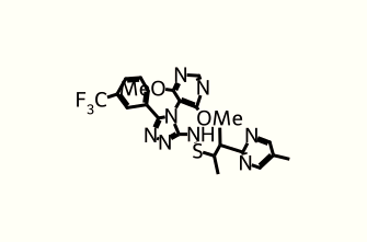 COc1ncnc(OC)c1-n1c(NSC(C)C(C)c2ncc(C)cn2)nnc1-c1cccc(C(F)(F)F)c1